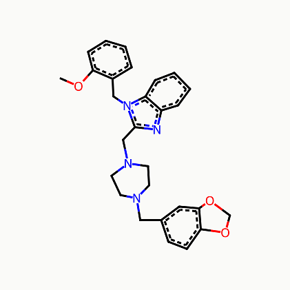 COc1ccccc1Cn1c(CN2CCN(Cc3ccc4c(c3)OCO4)CC2)nc2ccccc21